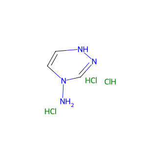 Cl.Cl.Cl.NN1C=CNN=C1